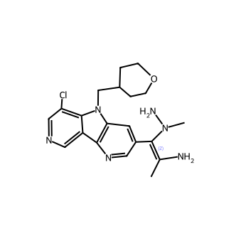 C/C(N)=C(\c1cnc2c3cncc(Cl)c3n(CC3CCOCC3)c2c1)N(C)N